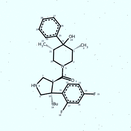 C[C@@H]1CN(C(=O)[C@@H]2CNC[C@@]2(c2ccc(F)cc2F)C(C)(C)C)C[C@H](C)C1(O)c1ccccc1